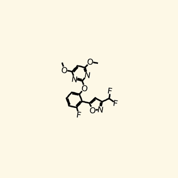 COc1cc(OC)nc(Oc2cccc(F)c2-c2cc(C(F)F)no2)n1